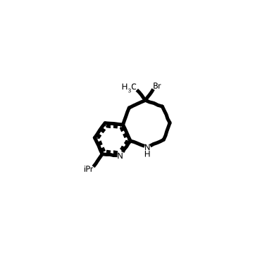 CC(C)c1ccc2c(n1)NCCCC(C)(Br)C2